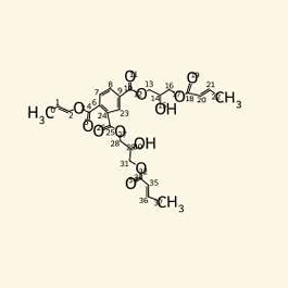 CC=COC(=O)c1ccc(C(=O)OCC(O)COC(=O)C=CC)cc1C(=O)OCC(O)COC(=O)C=CC